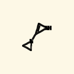 C1=C(N2CC2)N1